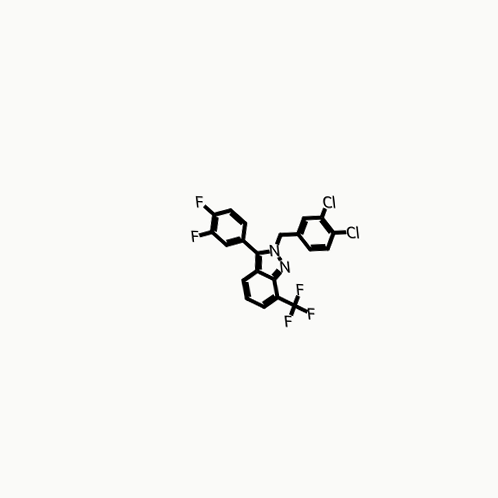 Fc1ccc(-c2c3cccc(C(F)(F)F)c3nn2Cc2ccc(Cl)c(Cl)c2)cc1F